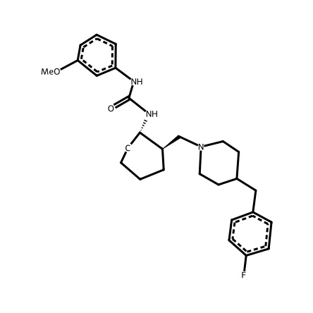 COc1cccc(NC(=O)N[C@H]2CCCC[C@@H]2CN2CCC(Cc3ccc(F)cc3)CC2)c1